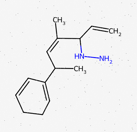 C=CC(NN)/C(C)=C\C(C)C1=CCCC=C1